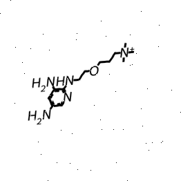 C[N+](C)(C)CCCOCCNc1ncc(N)cc1N